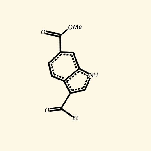 CCC(=O)c1c[nH]c2cc(C(=O)OC)ccc12